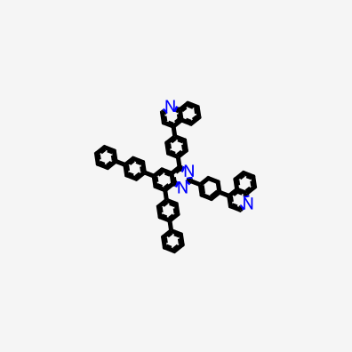 C1=C(c2nc(-c3ccc(-c4ccnc5ccccc45)cc3)c3cc(-c4ccc(-c5ccccc5)cc4)cc(-c4ccc(-c5ccccc5)cc4)c3n2)CCC(c2ccnc3ccccc23)=C1